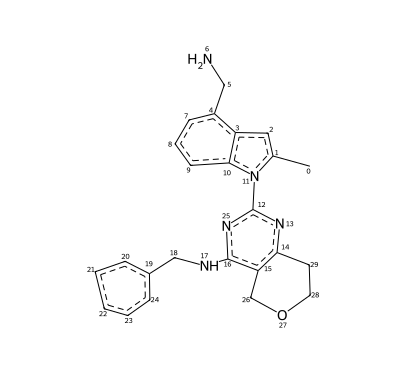 Cc1cc2c(CN)cccc2n1-c1nc2c(c(NCc3ccccc3)n1)COCC2